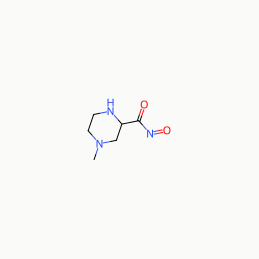 CN1CCNC(C(=O)N=O)C1